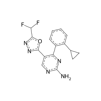 Nc1ncc(-c2nnc(C(F)F)o2)c(-c2ccccc2C2CC2)n1